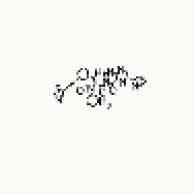 C[C@H](NC(=O)c1nc(-c2cscn2)cnc1N)c1cc2cccc(C#Cc3cncs3)c2c(=O)n1-c1ccccc1